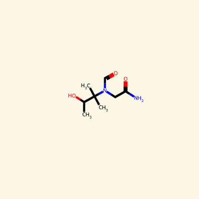 CC(O)C(C)(C)N(C=O)CC(N)=O